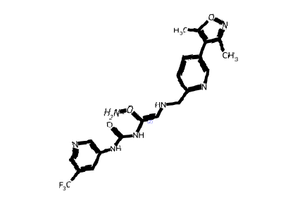 Cc1noc(C)c1-c1ccc(CN/C=C(/NC(=O)Nc2cncc(C(F)(F)F)c2)ON)nc1